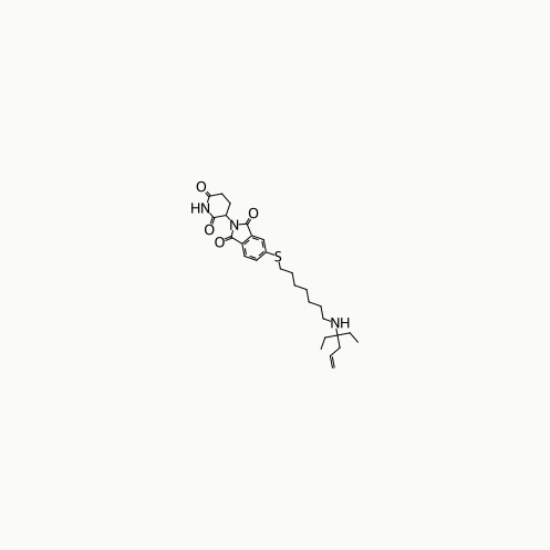 C=CCC(CC)(CC)NCCCCCCCSc1ccc2c(c1)C(=O)N(C1CCC(=O)NC1=O)C2=O